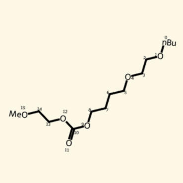 CCCCOCCOCCCCOC(=O)OCCOC